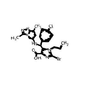 C=CCn1c(Br)nc(C(=O)O)c1C(Nc1cc(C)c2nnc(C)n2c1)c1ccc(Cl)cc1